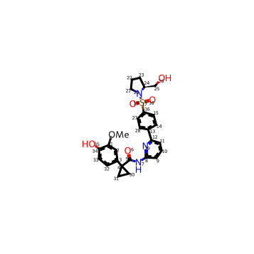 COc1cc(C2(C(=O)Nc3cccc(-c4ccc(S(=O)(=O)N5CCC[C@H]5CO)cc4)n3)CC2)ccc1O